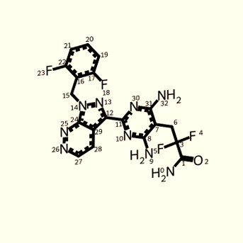 NC(=O)C(F)(F)Cc1c(N)nc(-c2nn(Cc3c(F)cccc3F)c3nnccc23)nc1N